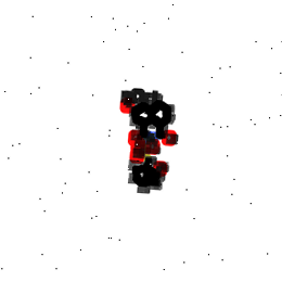 CCCCCCCCOc1cc2c3c(cccc3c1)C(=O)N(OS(=O)(=O)CC13CCC(CC1=O)C3(C)C)C2=O